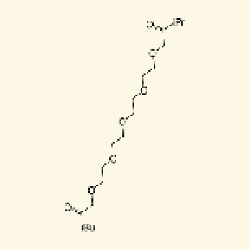 CCC(C)C(=O)COCCOCCOCCOCCOCC(=O)C(C)C